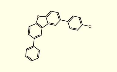 Clc1ccc(-c2ccc3oc4ccc(-c5ccccc5)cc4c3c2)cc1